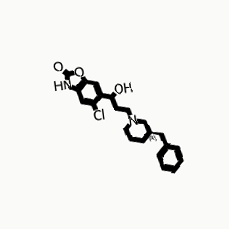 O=c1[nH]c2cc(Cl)c(C(O)CCN3CCC[C@H](Cc4ccccc4)C3)cc2o1